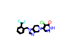 O=c1[nH]ncc(N2CCc3c(ncn3Cc3ccccc3C(F)F)C2)c1Cl